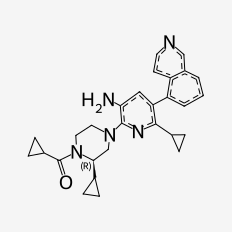 Nc1cc(-c2cccc3cnccc23)c(C2CC2)nc1N1CCN(C(=O)C2CC2)[C@H](C2CC2)C1